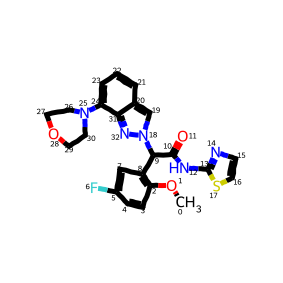 COc1ccc(F)cc1C(C(=O)Nc1nccs1)n1cc2cccc(N3CCOCC3)c2n1